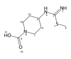 CSC(=N)NC1CCN(C(=O)O)CC1